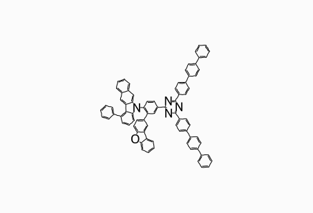 c1ccc(-c2ccc(-c3ccc(-c4nc(-c5ccc(-c6ccc(-c7ccccc7)cc6)cc5)nc(-c5ccc(-n6c7cc8ccccc8cc7c7c(-c8ccccc8)cccc76)c(-c6ccc7oc8ccccc8c7c6)c5)n4)cc3)cc2)cc1